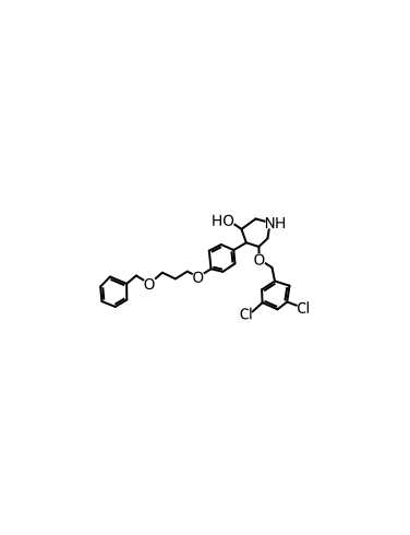 OC1CNCC(OCc2cc(Cl)cc(Cl)c2)C1c1ccc(OCCCOCc2ccccc2)cc1